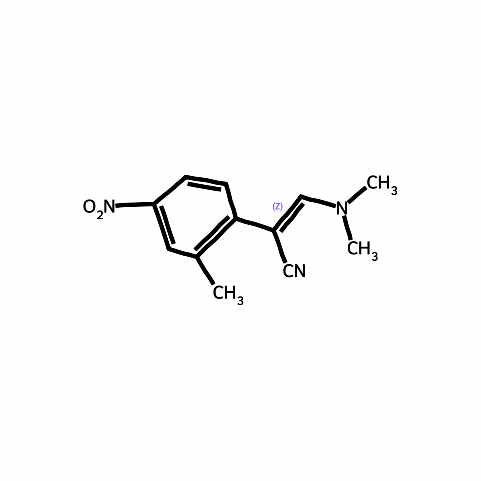 Cc1cc([N+](=O)[O-])ccc1/C(C#N)=C/N(C)C